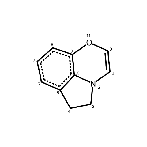 C1=CN2CCc3cccc(c32)O1